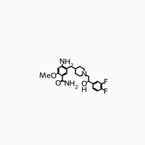 COc1cc(N)c(CC2CCN(CC(O)c3ccc(F)c(F)c3)CC2)cc1C(N)=O